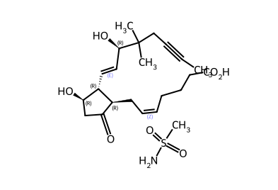 CC#CCC(C)(C)[C@H](O)/C=C/[C@H]1[C@H](O)CC(=O)[C@@H]1C/C=C\CCCC(=O)O.CS(N)(=O)=O